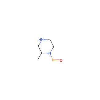 CC1CNCCN1P=O